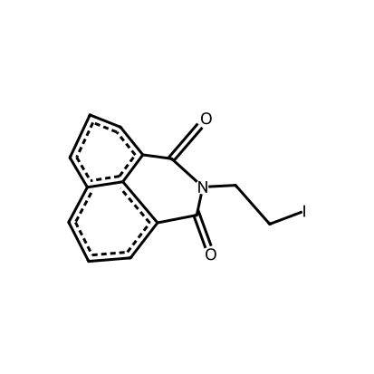 O=C1c2cccc3cccc(c23)C(=O)N1CCI